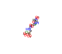 CC(C)(C)OC(=O)COc1c(C(=O)OC(C)(C)C)sc(-c2cccc(N[C@H]3CCN(S(=O)(=O)Cc4ccc(F)c(NC(=O)C5[C@H]6CN(C(=O)OC(C)(C)C)C[C@@H]56)c4)C(C)(C)C3)c2)c1Cl